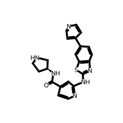 O=C(N[C@H]1CCNC1)c1ccnc(Nc2nc3ccc(-c4ccncc4)cc3s2)c1